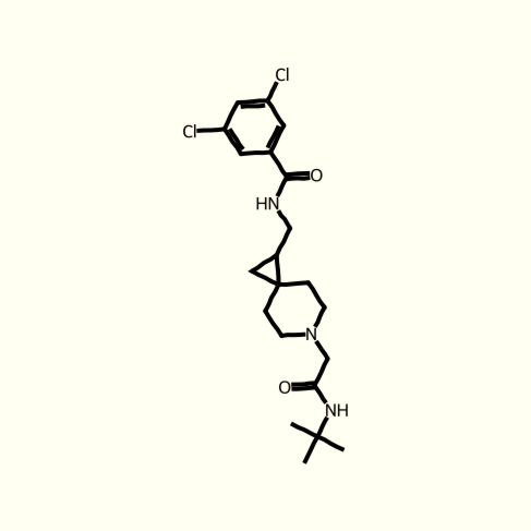 CC(C)(C)NC(=O)CN1CCC2(CC1)CC2CNC(=O)c1cc(Cl)cc(Cl)c1